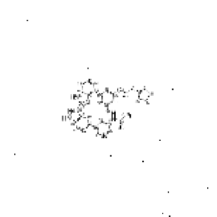 CC(C)C(=O)Nc1cncc(-c2cc3c(-c4nc5c(-c6cc(F)cc(OCCN7CCCC7)c6)cncc5[nH]4)n[nH]c3cn2)c1